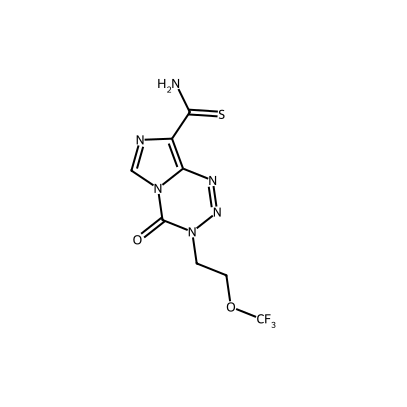 NC(=S)c1ncn2c(=O)n(CCOC(F)(F)F)nnc12